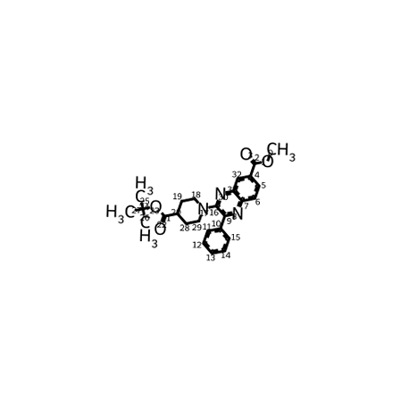 COC(=O)c1ccc2nc(-c3ccccc3)c(N3CCC(C(=O)OC(C)(C)C)CC3)nc2c1